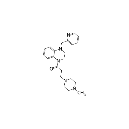 CN1CCN(CCC(=O)N2CCN(Cc3ccccn3)c3ccccc32)CC1